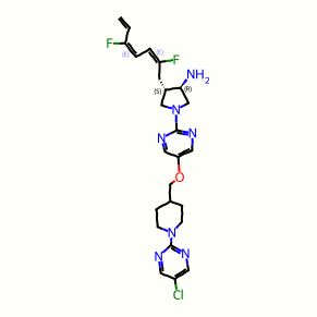 C=C/C(F)=C\C=C(\F)C[C@H]1CN(c2ncc(OCC3CCN(c4ncc(Cl)cn4)CC3)cn2)C[C@@H]1N